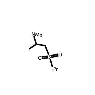 CNC(C)CS(=O)(=O)C(C)C